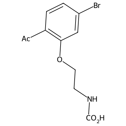 CC(=O)c1ccc(Br)cc1OCCNC(=O)O